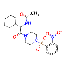 CC(=O)NC(C(=O)N1CCN(S(=O)(=O)c2ccccc2[N+](=O)[O-])CC1)C1CCCCC1